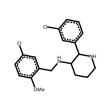 COc1ccc(Cl)cc1CNC1CCCNC1c1cccc(Cl)c1